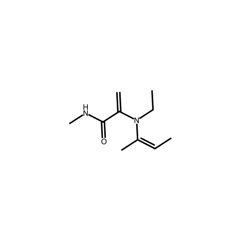 C=C(C(=O)NC)N(CC)/C(C)=C\C